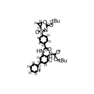 CC(C)(C)OC(=O)N=S(=O)(c1ccc(C(=O)Nc2cc(-c3ccccn3)ccc2NC(=O)OC(C)(C)C)cc1)C1CC1